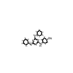 Oc1ccc(Nc2nc(Sc3ccccc3)nc(Sc3ccccc3)n2)cc1